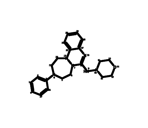 c1ccc(N2CCN3C(NN4CCOCC4)=Nc4ccccc4N3CC2)cc1